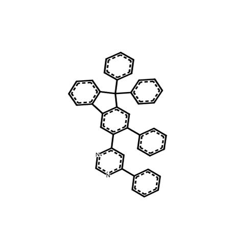 c1ccc(-c2cc(-c3cc4c(cc3-c3ccccc3)C(c3ccccc3)(c3ccccc3)c3ccccc3-4)ncn2)cc1